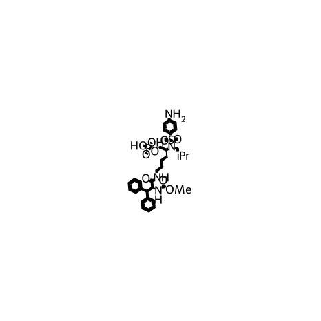 COC(=O)N[C@H](C(=O)NCCCC[C@@H](COP(=O)(O)O)N(CC(C)C)S(=O)(=O)c1ccc(N)cc1)C(c1ccccc1)c1ccccc1